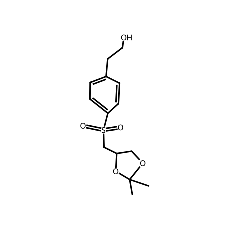 CC1(C)OCC(CS(=O)(=O)c2ccc(CCO)cc2)O1